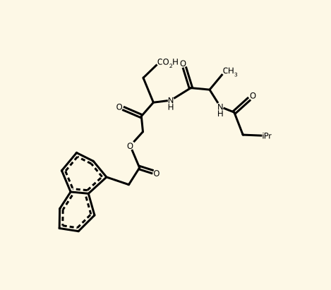 CC(C)CC(=O)NC(C)C(=O)NC(CC(=O)O)C(=O)COC(=O)Cc1cccc2ccccc12